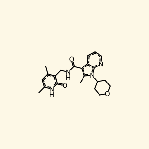 Cc1cc(C)c(CNC(=O)c2c(C)n(C3CCOCC3)c3ncccc23)c(=O)[nH]1